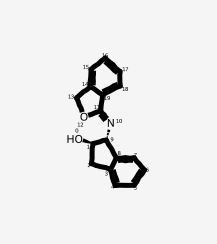 O[C@@H]1Cc2ccccc2[C@H]1/N=C1\OCc2ccccc21